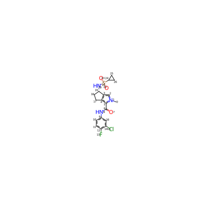 Cn1cc2c(c1C(=O)Nc1ccc(F)c(Cl)c1)CC[C@@H]2NS(=O)(=O)C1CC1